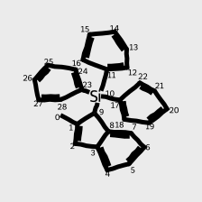 CC1=Cc2ccccc2C1[Si](c1ccccc1)(c1ccccc1)c1ccccc1